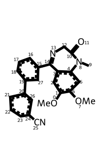 COc1cc2c(cc1OC)N(C)C(=O)CN=C2c1cccc(-c2cccc(C#N)c2)c1